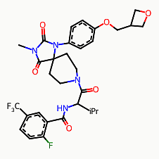 CC(C)C(NC(=O)c1cc(C(F)(F)F)ccc1F)C(=O)N1CCC2(CC1)C(=O)N(C)C(=O)N2c1ccc(OCC2COC2)cc1